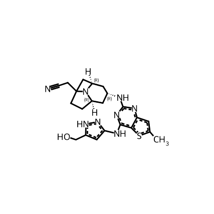 Cc1cc2nc(N[C@@H]3C[C@H]4CCC5(CC#N)C[C@@H](C3)N45)nc(Nc3cc(CO)[nH]n3)c2s1